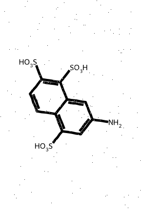 Nc1cc(S(=O)(=O)O)c2ccc(S(=O)(=O)O)c(S(=O)(=O)O)c2c1